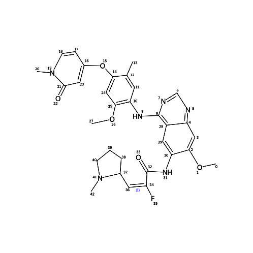 COc1cc2ncnc(Nc3cc(C)c(Oc4ccn(C)c(=O)c4)cc3OC)c2cc1NC(=O)/C(F)=C\C1CCCN1C